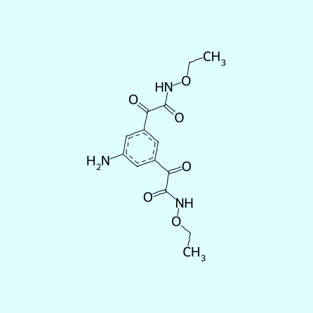 CCONC(=O)C(=O)c1cc(N)cc(C(=O)C(=O)NOCC)c1